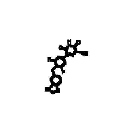 N#Cc1nn(-c2cc(F)c(Cc3ccc4nc[nH]c4c3)c(F)c2)c(=O)[nH]c1=O